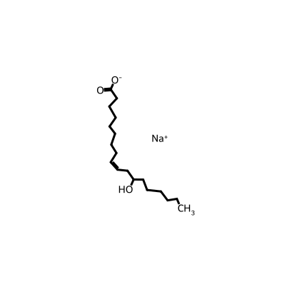 CCCCCCC(O)C/C=C\CCCCCCCC(=O)[O-].[Na+]